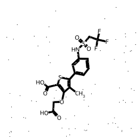 Cc1c(-c2cccc(NS(=O)(=O)CC(F)(F)F)c2)sc(C(=O)O)c1OCC(=O)O